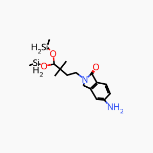 C[SiH2]OC(O[SiH2]C)C(C)(C)CCN1Cc2cc(N)ccc2C1=O